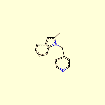 Cc1cc2ccccc2n1Cc1ccncc1